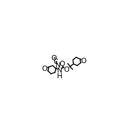 CC(C)(OC(=O)NC1(N=C=O)CCC2OC2C1)C1CCC2OC2C1